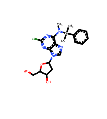 CN(c1nc(Cl)nc2c1ncn2C1CC(O)C(CO)O1)[Si](C)(C)c1ccccc1